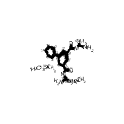 CS(=O)(=O)O.CS(=O)(=O)O.NC(N)=NC(=O)c1cc(C(=O)N=C(N)N)cc(-c2ccccc2)c1